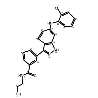 O=C(NCCO)c1cccc(-c2n[nH]c3cc(Nc4ccccc4Cl)ccc23)c1